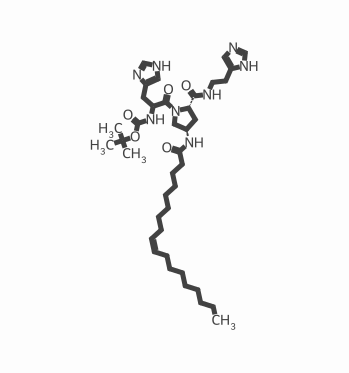 CCCCCCCC/C=C\CCCCCCCC(=O)N[C@H]1C[C@@H](C(=O)NCCc2cnc[nH]2)N(C(=O)C(Cc2c[nH]cn2)NC(=O)OC(C)(C)C)C1